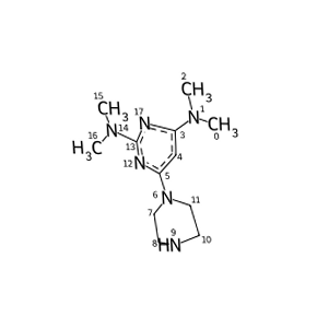 CN(C)c1cc(N2CCNCC2)nc(N(C)C)n1